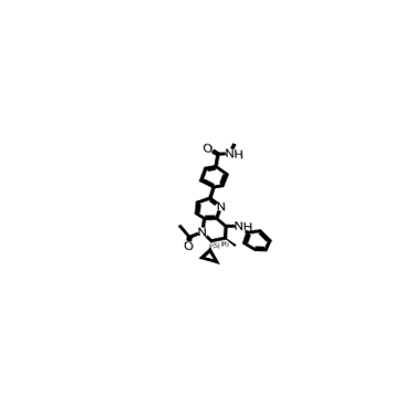 CNC(=O)c1ccc(-c2ccc3c(n2)C(Nc2ccccc2)[C@@H](C)[C@H](C2CC2)N3C(C)=O)cc1